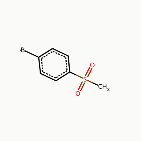 [B]c1ccc(S(C)(=O)=O)cc1